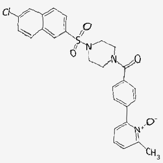 Cc1cccc(-c2ccc(C(=O)N3CCN(S(=O)(=O)c4ccc5cc(Cl)ccc5c4)CC3)cc2)[n+]1[O-]